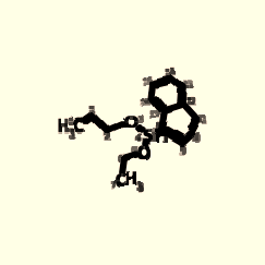 CCCO[SiH](OCC)c1cccc2ccccc12